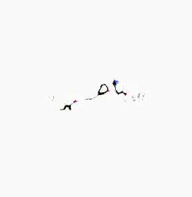 CNC(=O)c1cc(Oc2cccc(CCNC(=O)c3csc(Cl)c3OC)c2)ccn1